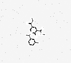 CCC(=O)c1cc(C(=O)NC)c(=O)n(C(C)c2cccc(C)c2)c1